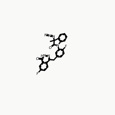 CC1(N=[N+]=[N-])C(=O)N(c2cc(Cc3n[nH]c(=O)c4cc(F)ccc34)ccc2F)c2ccccc21